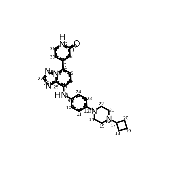 O=c1cc(-c2ccc(Nc3ccc(N4CCN(C5CCC5)CC4)cc3)c3ncnn23)cc[nH]1